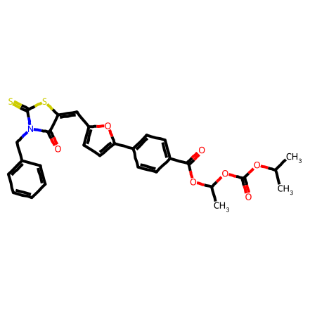 CC(C)OC(=O)OC(C)OC(=O)c1ccc(-c2ccc(/C=C3/SC(=S)N(Cc4ccccc4)C3=O)o2)cc1